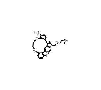 C[Si](C)(C)CCOCn1nc2c3cc(ncc31)-c1c(F)cccc1COCCCOc1cc-2ccc1N